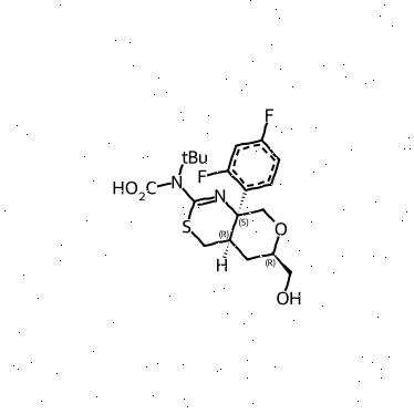 CC(C)(C)N(C(=O)O)C1=N[C@@]2(c3ccc(F)cc3F)CO[C@@H](CO)C[C@H]2CS1